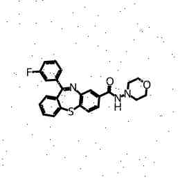 O=C(NN1CCOCC1)c1ccc2c(c1)N=C(c1cccc(F)c1)c1ccccc1S2